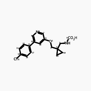 O=C(O)NCC1(COc2cncc(-c3ccc(Cl)cc3)c2)CC1